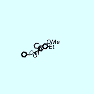 CCc1cc2c(cc1OC)[C@]13CCCCC1[C@H](C2)N(C(=O)OCc1ccccc1)CC3